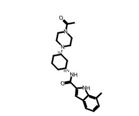 CC(=O)N1CCN([C@H]2CCC[C@@H](NC(=O)c3cc4cccc(C)c4[nH]3)C2)CC1